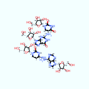 Nc1ccn([C@@H]2O[C@H](CO)[C@@H](O)[C@H]2O)c(=O)n1.Nc1nc2c(ncn2[C@@H]2O[C@H](CO)[C@@H](O)[C@H]2O)c(=O)[nH]1.Nc1ncnc2c1ncn2[C@@H]1O[C@H](CO)[C@@H](O)[C@H]1O.O=c1ccn([C@@H]2O[C@H](CO)[C@@H](O)[C@H]2O)c(=O)[nH]1